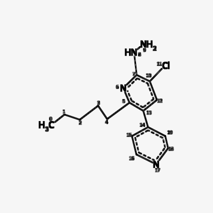 CCCCCc1nc(NN)c(Cl)cc1-c1ccncc1